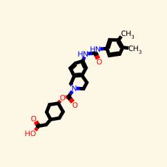 Cc1ccc(NC(=O)Nc2ccc3c(c2)CCN(C(=O)OC2CCC(CC(=O)O)CC2)C3)cc1C